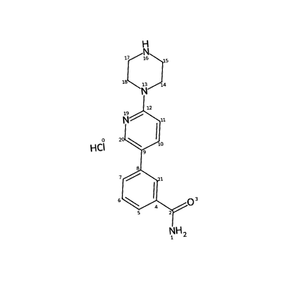 Cl.NC(=O)c1cccc(-c2ccc(N3CCNCC3)nc2)c1